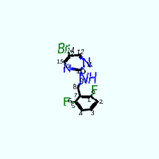 Fc1cccc(F)c1CNc1ncc(Br)cn1